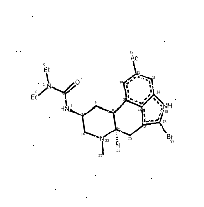 CCN(CC)C(=O)N[C@H]1CC2c3cc(C(C)=O)cc4[nH]c(Br)c(c34)C[C@H]2N(C)C1